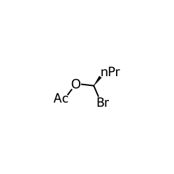 CCC[C@@H](Br)OC(C)=O